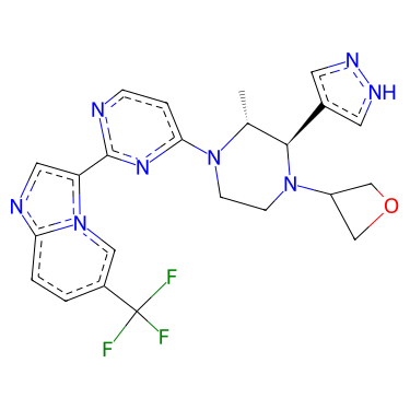 C[C@@H]1[C@@H](c2cn[nH]c2)N(C2COC2)CCN1c1ccnc(-c2cnc3ccc(C(F)(F)F)cn23)n1